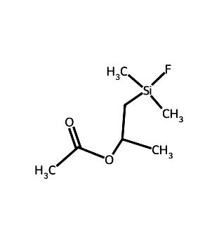 CC(=O)OC(C)C[Si](C)(C)F